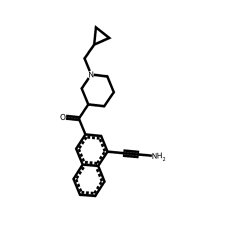 NC#Cc1cc(C(=O)C2CCCN(CC3CC3)C2)cc2ccccc12